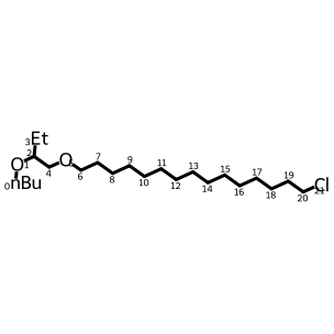 CCCCOC(CC)COCCCCCCCCCCCCCCCCl